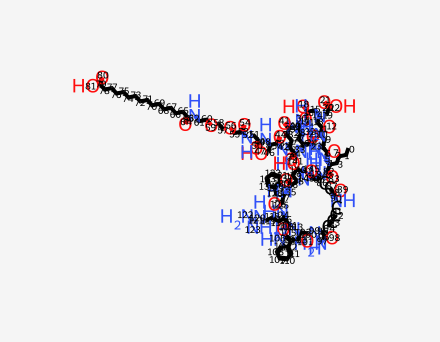 CCCCC(NC(=O)C(CNC(=O)CN(CC(=O)O)CC(=O)O)NC(=O)C(Cc1c[nH]cn1)NC(=O)C(CCC(N)=O)NC(=O)C(CO)NC(=O)CNC(=O)COCCOCCNC(=O)CCCCCCCCCCCCCCC(=O)O)C(=O)NC1CCC(=O)NCCCCC(C(N)=O)NC(=O)C(Cc2c[nH]c3ccccc23)NC(=O)C(CCCNC(N)N)NC(=O)[C@@H](Cc2ccccc2)NC(=O)C2C[C@@H](O)CN2C1=O